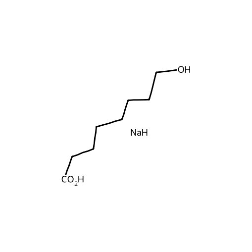 O=C(O)CCCCCCCO.[NaH]